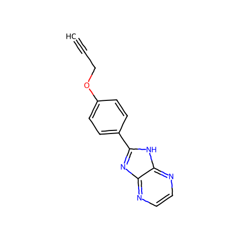 C#CCOc1ccc(-c2nc3nccnc3[nH]2)cc1